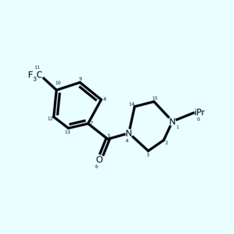 CC(C)N1CCN(C(=O)c2ccc(C(F)(F)F)cc2)CC1